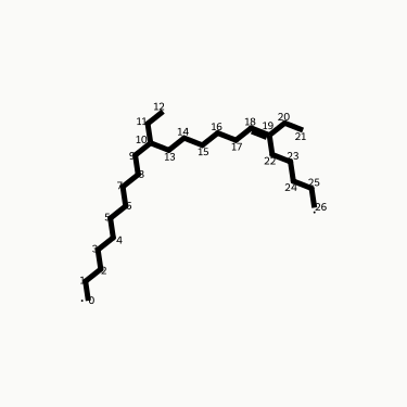 [CH2]CCCCCCCCCC(CC)CCCCCC=C(CC)CCCC[CH2]